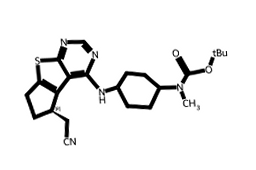 CN(C(=O)OC(C)(C)C)C1CCC(Nc2ncnc3sc4c(c23)[C@@H](CC#N)CC4)CC1